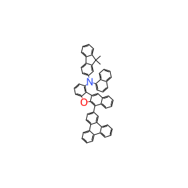 CC1(C)c2ccccc2-c2ccc(N(c3cccc4ccccc34)c3cccc4oc5c(-c6ccc7c8ccccc8c8ccccc8c7c6)c6ccccc6cc5c34)cc21